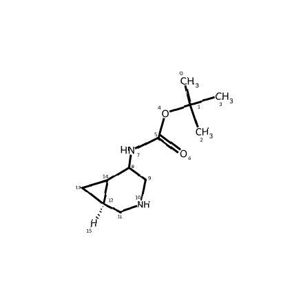 CC(C)(C)OC(=O)NC1CNC[C@H]2CC12